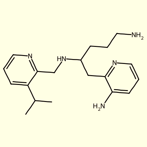 CC(C)c1cccnc1CNC(CCCN)Cc1ncccc1N